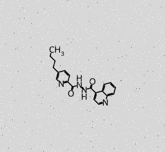 CCCCc1ccc(C(=O)NNC(=O)c2ccnc3ccccc23)nc1